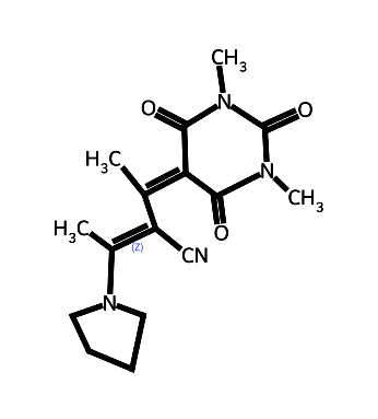 CC(=C1C(=O)N(C)C(=O)N(C)C1=O)/C(C#N)=C(\C)N1CCCC1